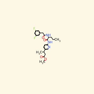 CCCC(NC(=O)Cc1cc(F)cc(F)c1)C(=O)Nc1ccc(C(C)CC(=O)OC)cn1